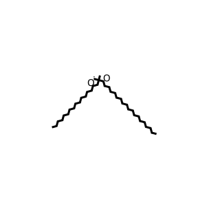 CCCCCCCCCCCCCCCCCCC(=O)C(C)([C]=O)CCCCCCCCCCCCCCCC